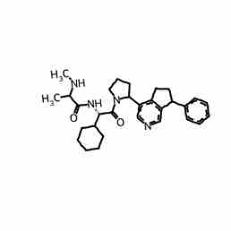 CNC(C)C(=O)N[C@H](C(=O)N1CCCC1c1cncc2c1CCC2c1ccccc1)C1CCCCC1